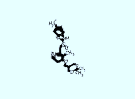 Cc1ccc2[nH]c([S+]([O-])Cc3nccc(OCC4COC(C)(C)OC4)c3C)nc2c1